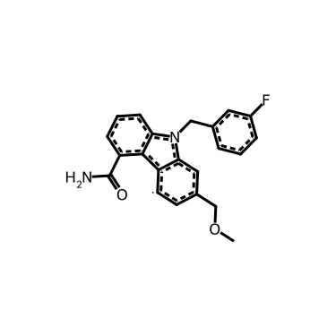 COCc1c[c]c2c3c(C(N)=O)cccc3n(Cc3cccc(F)c3)c2c1